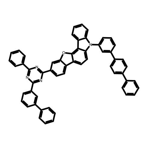 c1ccc(-c2ccc(-c3cccc(-n4c5ccccc5c5c6oc7cc(-c8nc(-c9ccccc9)nc(-c9cccc(-c%10ccccc%10)c9)n8)ccc7c6ccc54)c3)cc2)cc1